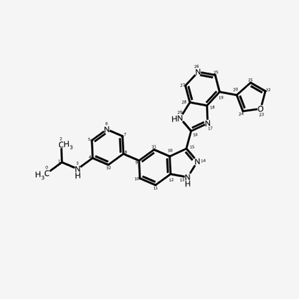 CC(C)Nc1cncc(-c2ccc3[nH]nc(-c4nc5c(-c6ccoc6)cncc5[nH]4)c3c2)c1